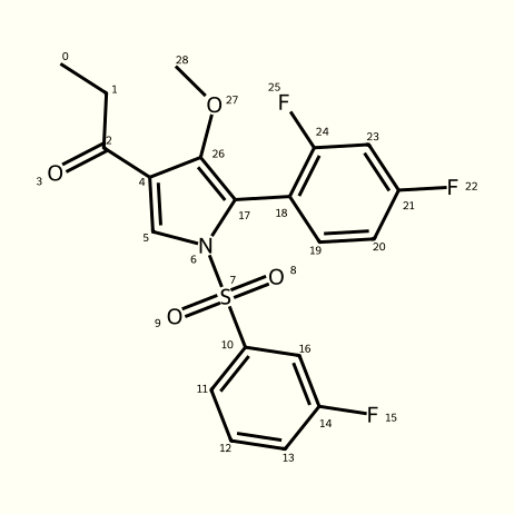 CCC(=O)c1cn(S(=O)(=O)c2cccc(F)c2)c(-c2ccc(F)cc2F)c1OC